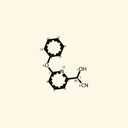 N#C[C@H](O)c1cccc(Oc2ccccc2)n1